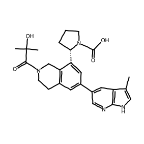 Cc1c[nH]c2ncc(-c3cc4c(c([C@@H]5CCCN5C(=O)O)c3)CN(C(=O)C(C)(C)O)CC4)cc12